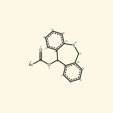 CC(=O)C(=O)OC1c2ccccc2CSc2ccccc21